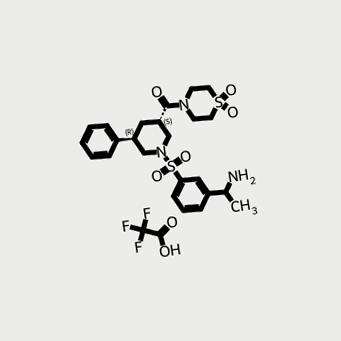 CC(N)c1cccc(S(=O)(=O)N2C[C@@H](C(=O)N3CCS(=O)(=O)CC3)C[C@H](c3ccccc3)C2)c1.O=C(O)C(F)(F)F